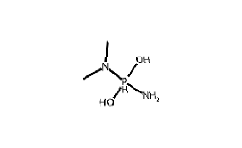 CN(C)[PH](N)(O)O